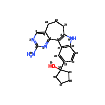 Nc1ncc2c(n1)-c1c([nH]c3ccc(C4(O)CCCC4)cc13)CCC2